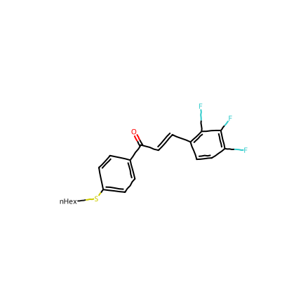 CCCCCCSc1ccc(C(=O)/C=C/c2ccc(F)c(F)c2F)cc1